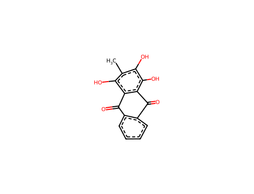 Cc1c(O)c(O)c2c(c1O)C(=O)c1ccccc1C2=O